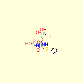 NC(CCC(=O)NC(CSCc1ccccn1)C(=O)NCC(=O)O)C(=O)O